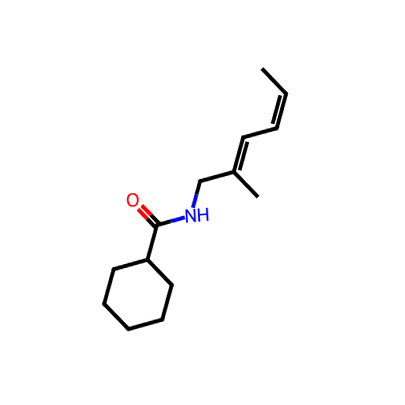 C/C=C\C=C(/C)CNC(=O)C1CCCCC1